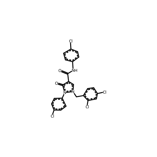 O=C(Nc1ccc(Cl)cc1)c1cn(Cc2ccc(Cl)cc2Cl)n(-c2ccc(Cl)cc2)c1=O